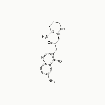 Nc1ccc2ncn(CC(=O)C[C@@H]3NCCC[C@H]3N)c(=O)c2c1